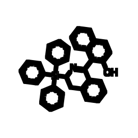 Oc1ccc2ccccc2c1C1=NC([Si](c2ccccc2)(c2ccccc2)c2ccccc2)Cc2ccccc21